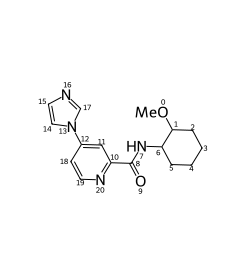 COC1CCCCC1NC(=O)c1cc(-n2ccnc2)ccn1